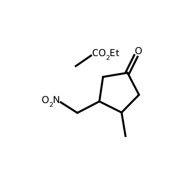 CC1CC(=O)CC1C[N+](=O)[O-].CCOC(C)=O